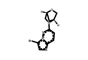 Brc1cnc2ccc(N3C[C@H]4C[C@@H]3CO4)nn12